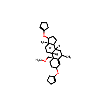 COC[C@]12CCC(OC3=CCCC3)C=C1C(C)C[C@@H]1[C@H]2CC[C@]2(C)C(OC3=CCCC3)CC[C@@H]12